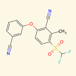 Cc1c(S(=O)(=O)C(F)F)ccc(Oc2cccc(C#N)c2)c1C#N